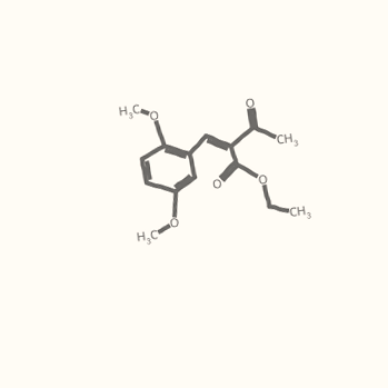 CCOC(=O)C(=Cc1cc(OC)ccc1OC)C(C)=O